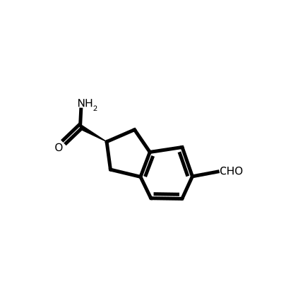 NC(=O)[C@@H]1Cc2ccc(C=O)cc2C1